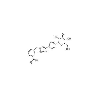 COC(=O)c1cccc(CN2C=C(c3ccc([C@H]4O[C@H](CO)[C@@H](O)[C@H](O)[C@@H]4O)cc3)NN2)c1